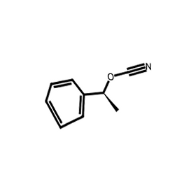 C[C@H](OC#N)c1ccccc1